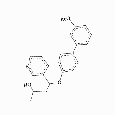 CC(=O)Oc1cccc(-c2ccc(OC(CC(C)O)c3cccnc3)cc2)c1